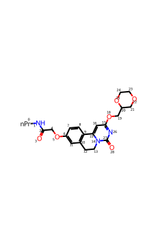 CCCNC(=O)COc1ccc2c(c1)CCn1c-2cc(OCC2COCCO2)nc1=O